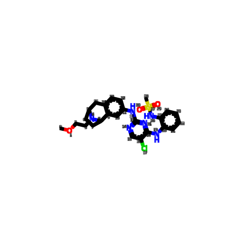 COCCN1C2CCC1c1cc(Nc3ncc(Cl)c(Nc4ccccc4NS(C)(=O)=O)n3)ccc1C2